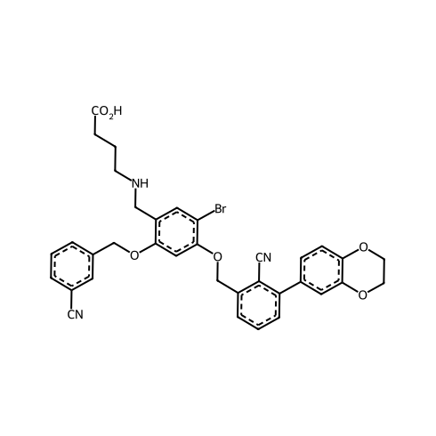 N#Cc1cccc(COc2cc(OCc3cccc(-c4ccc5c(c4)OCCO5)c3C#N)c(Br)cc2CNCCCC(=O)O)c1